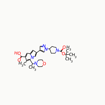 Cc1c(C(=O)O)cc2cc(-c3cnn(C4CCN(C(=O)OC(C)(C)C)CC4)c3)cn2c1C(C)N1CCOCC1